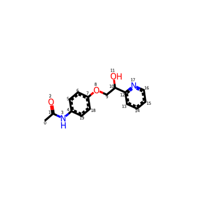 CC(=O)Nc1ccc(OCC(O)c2ccccn2)cc1